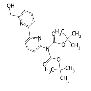 CC(C)(C)OC(=O)N(C(=O)OC(C)(C)C)c1cccc(-c2cccc(CO)n2)n1